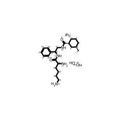 CC(C)[C@@H]1CC[C@@H](C)C[C@H]1C(=O)NCC(NC(=O)C(N)CCCCN)c1ccccc1.Cl.Cl